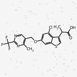 Cc1nc(C(F)(F)F)ncc1COc1cc(Cl)c2c(C(C)C(=O)O)csc2c1